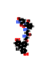 CCC(=C(c1ccc(O)cc1)c1ccc(OCCNC(=O)CCNc2cccc3c2C(=O)N(C2CCC(=O)NC2=O)C3=O)cc1)c1ccc(O)cc1